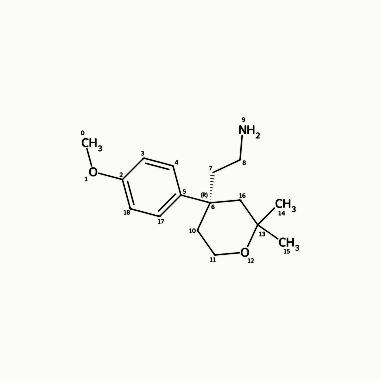 COc1ccc([C@]2(CCN)CCOC(C)(C)C2)cc1